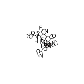 CN1CCO[C@@H](COc2nc(N3C4CCC3CN(C(=O)O)C4)c3c4c(c(-c5ncc(F)c6sc(NC(=O)OC(C)(C)C)c(C#N)c56)c(F)c3n2)COC4)C1